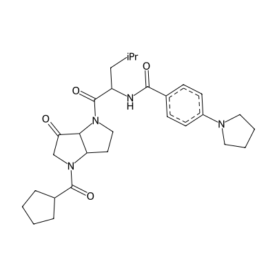 CC(C)CC(NC(=O)c1ccc(N2CCCC2)cc1)C(=O)N1CCC2C1C(=O)CN2C(=O)C1CCCC1